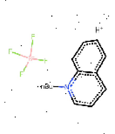 CCCC[n+]1cccc2ccccc21.F[B-](F)(F)F.[H+]